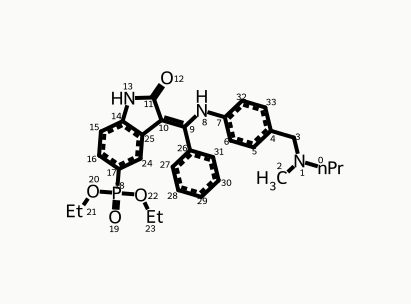 CCCN(C)Cc1ccc(N/C(=C2\C(=O)Nc3ccc(P(=O)(OCC)OCC)cc32)c2ccccc2)cc1